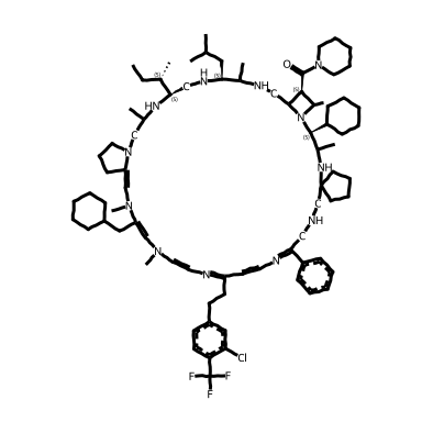 CC[C@H](C)[C@H]1CN[C@@H](CC(C)C)C(C)NCC2[C@@H](C(=O)N3CCCCC3)C(C)N2[C@@H](C2CCCCC2)C(C)NC2(CCCC2)CNCC(c2ccccc2)=NC=CC(CCc2ccc(C(F)(F)F)c(Cl)c2)=NC=CN(C)C=C(CC2CCCCC2)N(C)C=C2CCCN2CC(C)N1